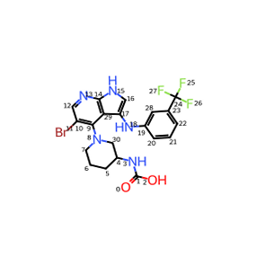 O=C(O)NC1CCCN(c2c(Br)cnc3[nH]cc(Nc4cccc(C(F)(F)F)c4)c23)C1